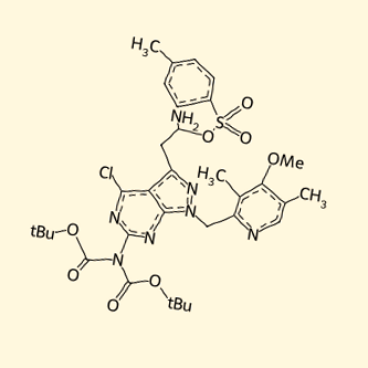 COc1c(C)cnc(Cn2nc(CC(N)OS(=O)(=O)c3ccc(C)cc3)c3c(Cl)nc(N(C(=O)OC(C)(C)C)C(=O)OC(C)(C)C)nc32)c1C